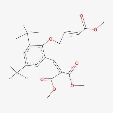 COC(=O)/C=C/COc1c(C=C(C(=O)OC)C(=O)OC)cc(C(C)(C)C)cc1C(C)(C)C